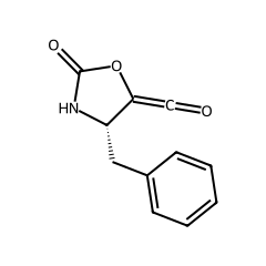 O=C=C1OC(=O)N[C@H]1Cc1ccccc1